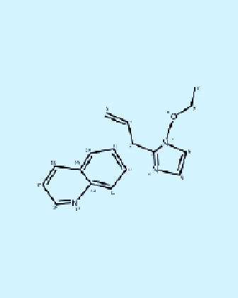 C=CCc1nccn1OCC.c1ccc2ncccc2c1